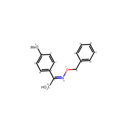 COc1ccc(/C(=N\OCc2ccccc2)C(=O)O)cc1